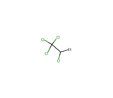 CCC(Cl)C(Cl)(Cl)Cl